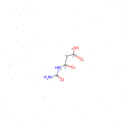 NC(=O)NC(=O)CC(=O)O